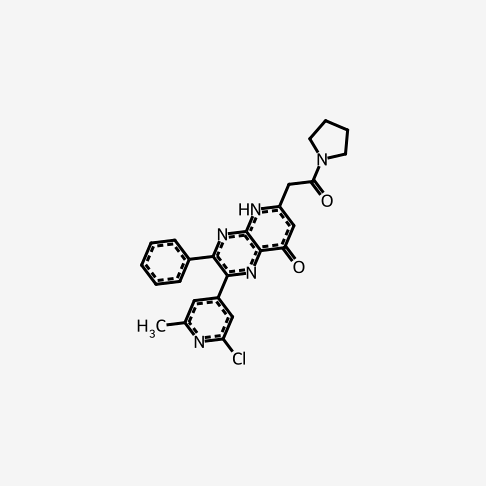 Cc1cc(-c2nc3c(=O)cc(CC(=O)N4CCCC4)[nH]c3nc2-c2ccccc2)cc(Cl)n1